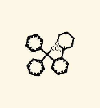 O=C(O)C(c1ccccc1)(c1ccccc1)c1ccccc1C1CCCCO1